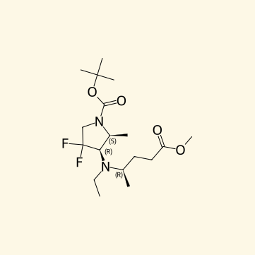 CCN([C@H](C)CCC(=O)OC)[C@@H]1[C@H](C)N(C(=O)OC(C)(C)C)CC1(F)F